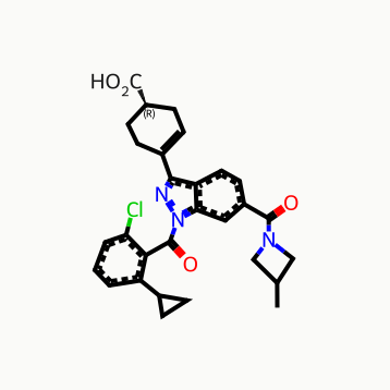 CC1CN(C(=O)c2ccc3c(C4=CC[C@H](C(=O)O)CC4)nn(C(=O)c4c(Cl)cccc4C4CC4)c3c2)C1